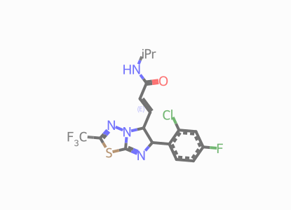 CC(C)NC(=O)/C=C/C1C(c2ccc(F)cc2Cl)N=C2SC(C(F)(F)F)=NN21